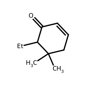 CCC1C(=O)C=CCC1(C)C